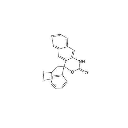 O=C1Nc2cc3ccccc3cc2C(CC2CCC2)(c2ccccc2)O1